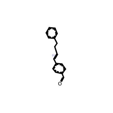 O=Cc1ccc(/C=C/CCc2ccccc2)cc1